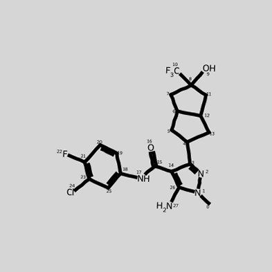 Cn1nc(C2CC3CC(O)(C(F)(F)F)CC3C2)c(C(=O)Nc2ccc(F)c(Cl)c2)c1N